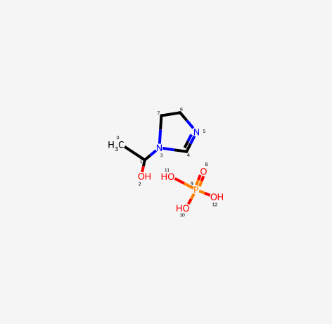 CC(O)N1C=NCC1.O=P(O)(O)O